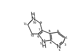 [c]1ccnc2[nH]c3c(c12)CNCC3